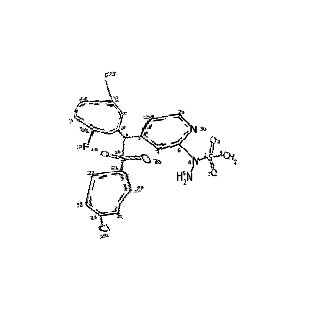 CS(=O)(=O)N(N)c1cc(C(c2cc(F)ccc2F)S(=O)(=O)c2ccc(Cl)cc2)ccn1